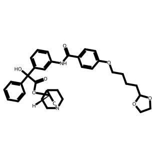 O=C(Nc1cccc(C(O)(C(=O)O[C@H]2CN3CCC2CC3)c2ccccc2)c1)c1ccc(OCCCCC2OCCO2)cc1